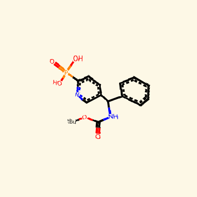 CC(C)(C)OC(=O)NC(c1ccccc1)c1ccc(P(=O)(O)O)nc1